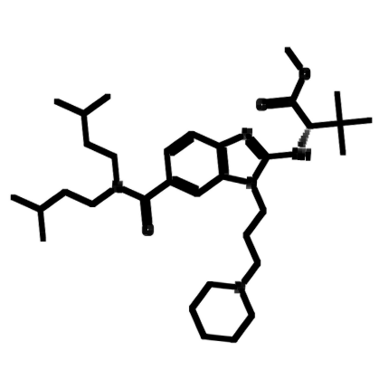 COC(=O)[C@@H](Nc1nc2ccc(C(=O)N(CCC(C)C)CCC(C)C)cc2n1CCCN1CCCCC1)C(C)(C)C